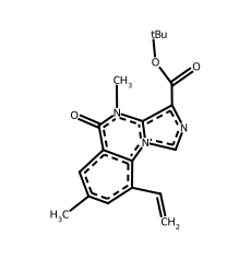 C=Cc1cc(C)cc2c(=O)n(C)c3c(C(=O)OC(C)(C)C)ncn3c12